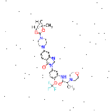 CC(C(=O)Nc1cc(-n2cnc3cc(N4CCN(C(=O)OC(C)(C)C)CC4)ccc3c2=O)ccc1OC(F)(F)F)N1CCOCC1